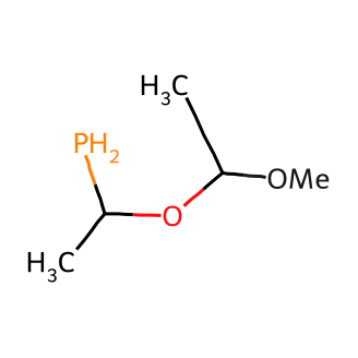 COC(C)OC(C)P